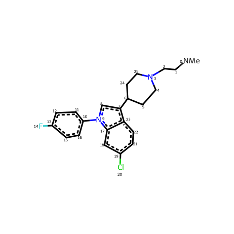 CNCCN1CCC(c2cn(-c3ccc(F)cc3)c3cc(Cl)ccc23)CC1